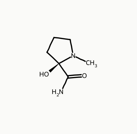 CN1CCC[C@@]1(O)C(N)=O